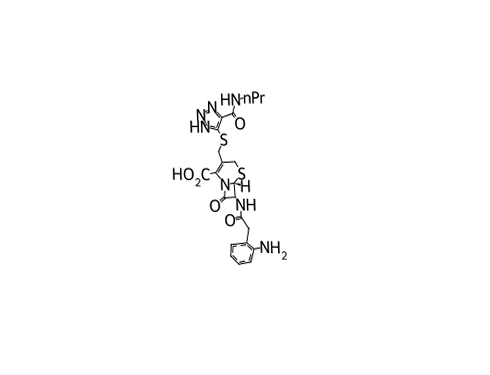 CCCNC(=O)c1nn[nH]c1SCC1=C(C(=O)O)N2C(=O)C(NC(=O)Cc3ccccc3N)[C@H]2SC1